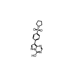 O=S(=O)(c1ccc(-c2cnn3c(O)ncnc23)cc1)N1CCCC1